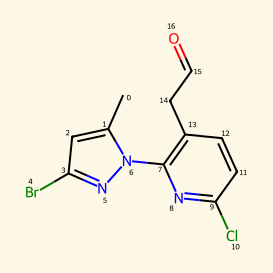 Cc1cc(Br)nn1-c1nc(Cl)ccc1CC=O